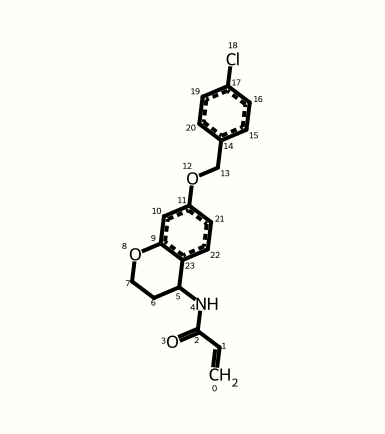 C=CC(=O)NC1CCOc2cc(OCc3ccc(Cl)cc3)ccc21